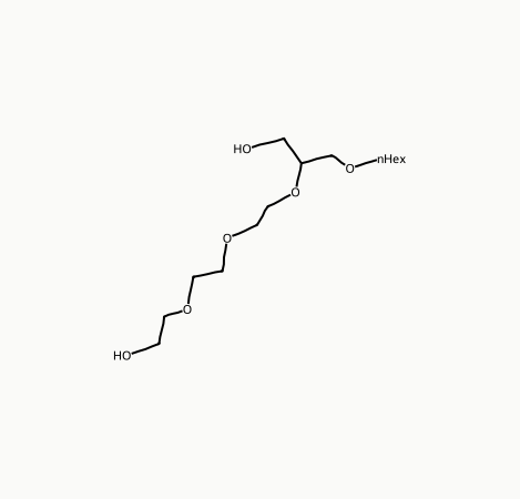 CCCCCCOCC(CO)OCCOCCOCCO